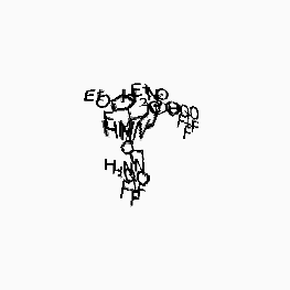 CCOc1cc(CC)cc(C(Nc2ccc3c(N)nccc3c2)c2nc(-c3ccccc3S(N)(=O)=O)c[nH]2)c1F.O=C(O)C(F)(F)F.O=C(O)C(F)(F)F